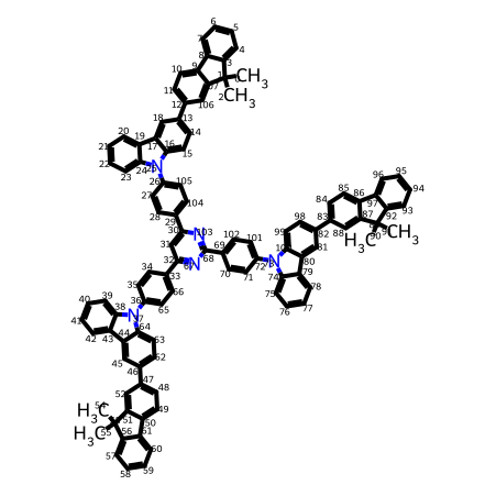 CC1(C)c2ccccc2-c2ccc(-c3ccc4c(c3)c3ccccc3n4-c3ccc(-c4cc(-c5ccc(-n6c7ccccc7c7cc(-c8ccc9c(c8)C(C)(C)c8ccccc8-9)ccc76)cc5)nc(-c5ccc(-n6c7ccccc7c7cc(-c8ccc9c(c8)C(C)(C)c8ccccc8-9)ccc76)cc5)n4)cc3)cc21